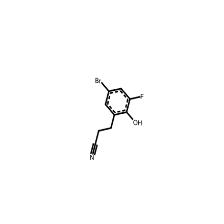 N#CCCc1cc(Br)cc(F)c1O